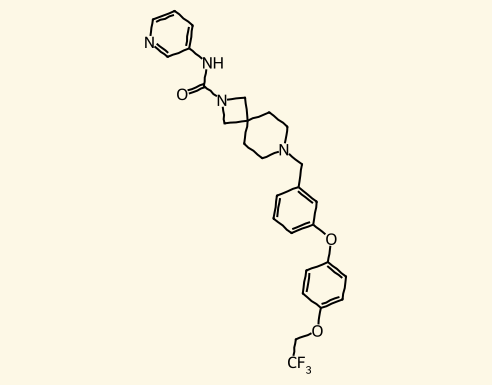 O=C(Nc1cccnc1)N1CC2(CCN(Cc3cccc(Oc4ccc(OCC(F)(F)F)cc4)c3)CC2)C1